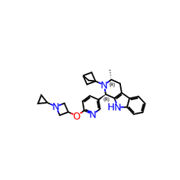 C[C@@H]1Cc2c([nH]c3ccccc23)[C@@H](c2ccc(OC3CN(C4CC4)C3)nc2)N1C12CC(C1)C2